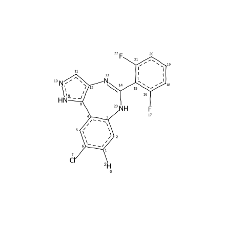 [2H]c1cc2c(cc1Cl)-c1[nH]ncc1N=C(c1c(F)cccc1F)N2